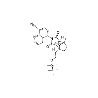 CC12CCC(CCO[Si](C)(C)C(C)(C)C)(O1)[C@H]1C(=O)N(c3ccc(C#N)c4ncccc34)C(=O)[C@H]12